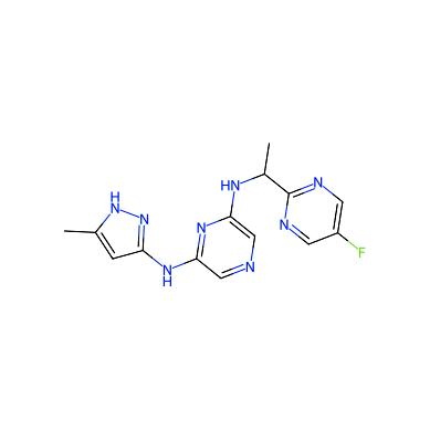 Cc1cc(Nc2cncc(NC(C)c3ncc(F)cn3)n2)n[nH]1